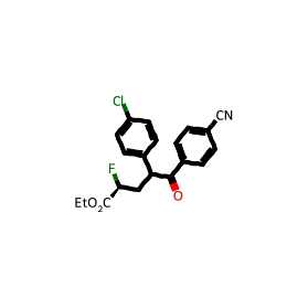 CCOC(=O)[C@@H](F)CC(C(=O)c1ccc(C#N)cc1)c1ccc(Cl)cc1